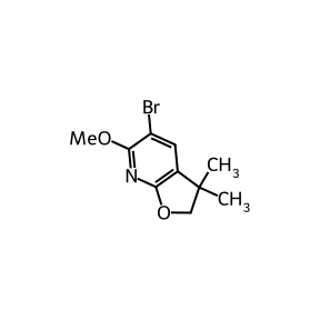 COc1nc2c(cc1Br)C(C)(C)CO2